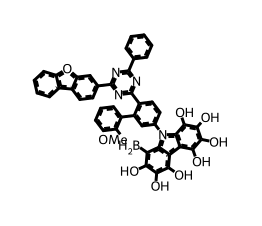 Bc1c(O)c(O)c(O)c2c3c(O)c(O)c(O)c(O)c3n(-c3ccc(-c4nc(-c5ccccc5)nc(-c5ccc6c(c5)oc5ccccc56)n4)c(-c4ccccc4OC)c3)c12